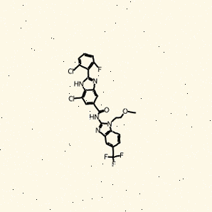 COCCn1c(NC(=O)c2cc(Cl)c3[nH]c(-c4c(F)cccc4Cl)nc3c2)nc2cc(C(F)(F)F)ccc21